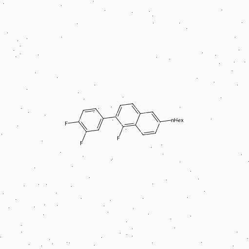 CCCCCCc1ccc2c(F)c(-c3ccc(F)c(F)c3)ccc2c1